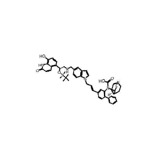 CC(C)(C)[Si](C)(C)O[C@H](CNCc1ccc2c(ccn2C/C=C/c2ccc(-c3ccccc3)c(N(C(=O)O)[C@H]3CN4CCC3CC4)c2)c1)c1ccc(O)c2[nH]c(=O)ccc12